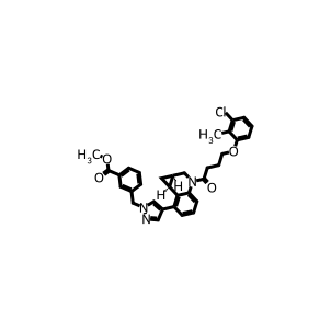 COC(=O)c1cccc(Cn2cc(-c3cccc4c3[C@H]3C[C@H]3CN4C(=O)CCCOc3cccc(Cl)c3C)cn2)c1